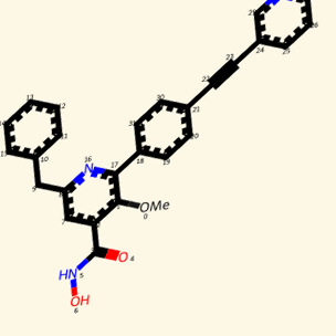 COc1c(C(=O)NO)cc(Cc2ccccc2)nc1-c1ccc(C#Cc2cccnc2)cc1